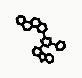 c1ccc(-c2nc(-c3ccc4ccc5c6ccccc6ccc5c4c3)nc(-c3nccc4oc5ccccc5c34)n2)cc1